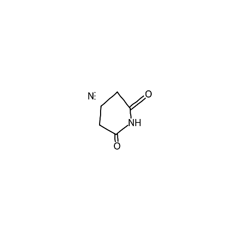 O=C1CCCC(=O)N1.[N]